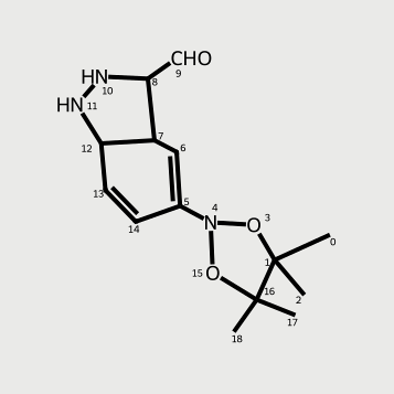 CC1(C)ON(C2=CC3C(C=O)NNC3C=C2)OC1(C)C